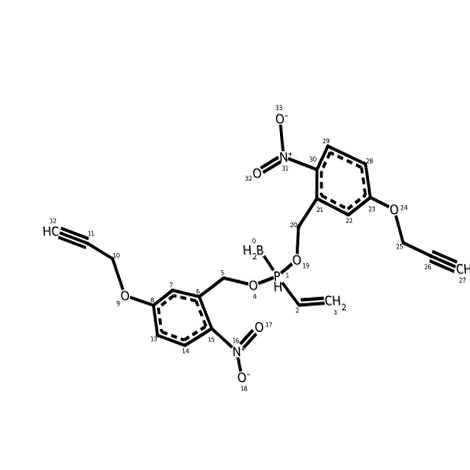 B[PH](C=C)(OCc1cc(OCC#C)ccc1[N+](=O)[O-])OCc1cc(OCC#C)ccc1[N+](=O)[O-]